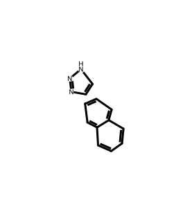 c1c[nH]nn1.c1ccc2ccccc2c1